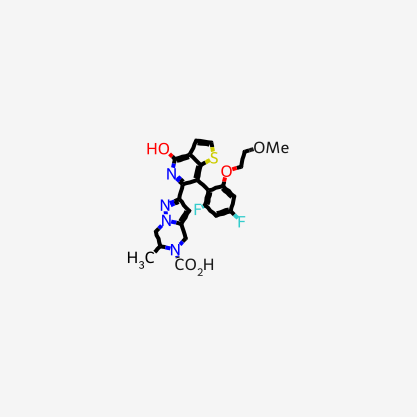 COCCOc1cc(F)cc(F)c1-c1c(-c2cc3n(n2)CC(C)N(C(=O)O)C3)nc(O)c2ccsc12